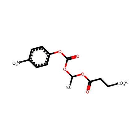 CCC(OC(=O)CCC(=O)O)OC(=O)Oc1ccc([N+](=O)[O-])cc1